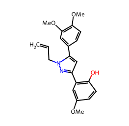 C=CCn1nc(-c2cc(OC)ccc2O)cc1-c1ccc(OC)c(OC)c1